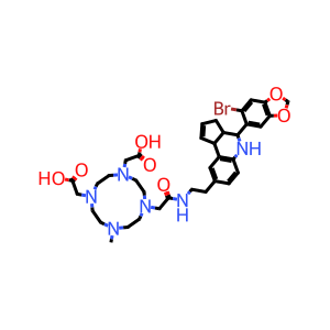 CN1CCN(CC(=O)O)CCN(CC(=O)O)CCN(CC(=O)NCCc2ccc3c(c2)C2C=CCC2C(c2cc4c(cc2Br)OCO4)N3)CC1